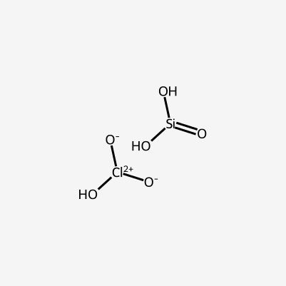 O=[Si](O)O.[O-][Cl+2]([O-])O